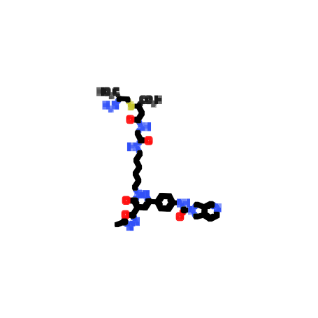 Cc1nnc(-c2cc(-c3ccc(NC(=O)N4Cc5ccncc5C4)cc3)nn(CCCCCCNC(=O)CNC(=O)CC(SC[C@H](N)C(=O)O)C(=O)O)c2=O)o1